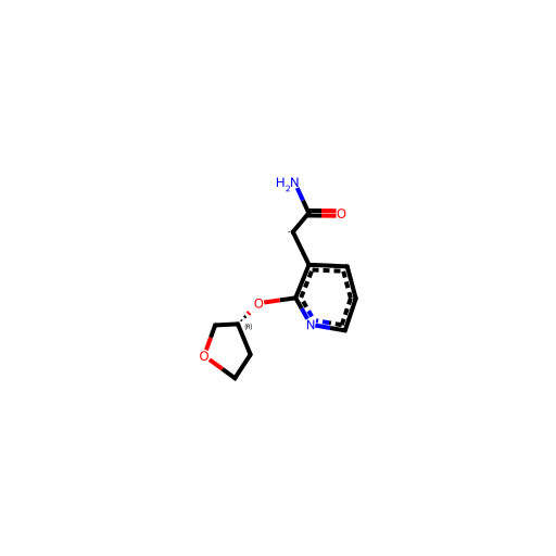 NC(=O)[CH]c1cccnc1O[C@@H]1CCOC1